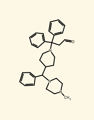 CN1CCN(C(c2ccccc2)C2CCN(C(CC=O)(c3ccccc3)c3ccccc3)CC2)CC1